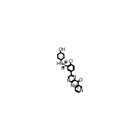 Nc1ncc(-c2ccc(Cl)c(S(=O)(=O)NC3CCC(O)CC3)c2)nc1C(=O)c1cccnc1